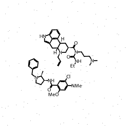 C=CCN1C[C@H](C(=O)N(CCCN(C)C)C(=O)NCC)C[C@@H]2c3cccc4[nH]cc(c34)C[C@H]21.CNc1cc(OC)c(C(=O)N[C@H]2CCN(Cc3ccccc3)[C@H]2C)cc1Cl